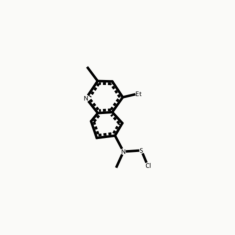 CCc1cc(C)nc2ccc(N(C)SCl)cc12